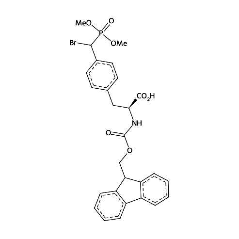 COP(=O)(OC)C(Br)c1ccc(C[C@H](NC(=O)OCC2c3ccccc3-c3ccccc32)C(=O)O)cc1